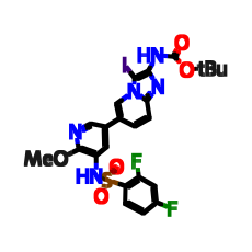 COc1ncc(-c2ccc3nc(NC(=O)OC(C)(C)C)c(I)n3c2)cc1NS(=O)(=O)c1ccc(F)cc1F